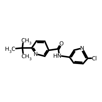 CC(C)(C)c1ccc(C(=O)Nc2ccc(Cl)nc2)cn1